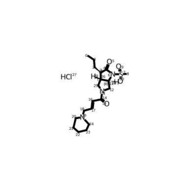 CCC[C@H]1C(=O)N(S(C)(=O)=O)[C@H]2CN(C(=O)C=CCN3CCCCC3)C[C@H]12.Cl